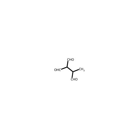 CC(C=O)C(C=O)C=O